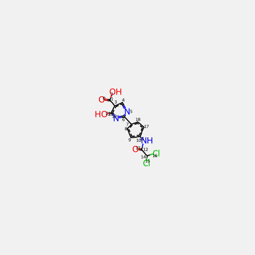 O=C(O)c1cnc(-c2ccc(NC(=O)C(Cl)Cl)cc2)nc1O